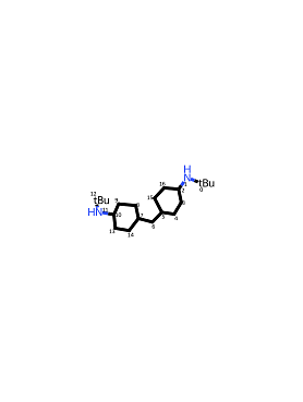 CC(C)(C)NC1CCC(CC2CCC(NC(C)(C)C)CC2)CC1